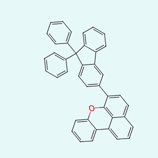 c1ccc(C2(c3ccccc3)c3ccccc3-c3cc(-c4ccc5cccc6c5c4Oc4ccccc4-6)ccc32)cc1